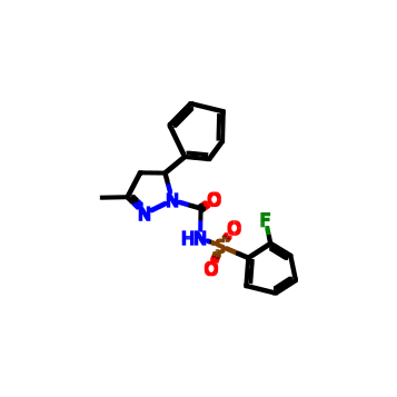 CC1=NN(C(=O)NS(=O)(=O)c2ccccc2F)C(c2ccccc2)C1